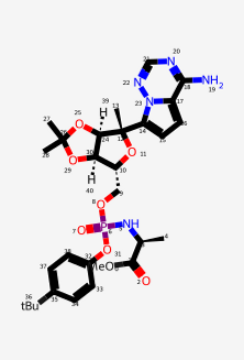 COC(=O)[C@H](C)NP(=O)(OC[C@H]1O[C@@](C)(c2ccc3c(N)ncnn23)[C@@H]2OC(C)(C)O[C@@H]21)Oc1ccc(C(C)(C)C)cc1